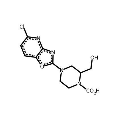 O=C(O)N1CCN(c2nc3nc(Cl)ccc3o2)CC1CO